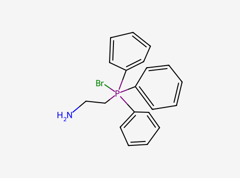 NCCP(Br)(c1ccccc1)(c1ccccc1)c1ccccc1